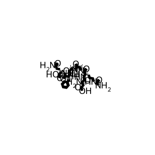 C[C@H](NC(=O)[C@H](C)NC(=O)[C@H](CCCNC(N)=O)NC(=O)[C@@H](N)CC(=O)O)C(=O)N[C@@H](Cc1ccccc1)C(=O)N[C@@H](CCC(N)=O)C(=O)O